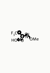 COCCc1noc(C2CC(c3cccc(C(F)(F)F)c3)CN(C(=O)N3CC(O)C3)C2)n1